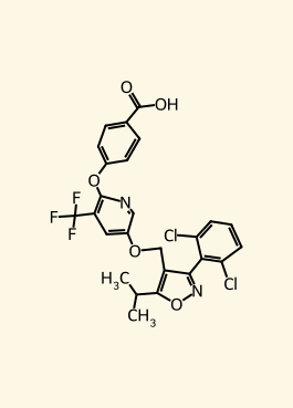 CC(C)c1onc(-c2c(Cl)cccc2Cl)c1COc1cnc(Oc2ccc(C(=O)O)cc2)c(C(F)(F)F)c1